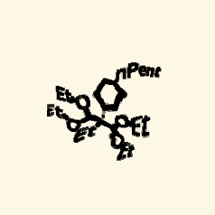 CCCCC[C@H]1CC[C@H](C(CC)(C(OCC)OCC)C(OCC)OCC)CC1